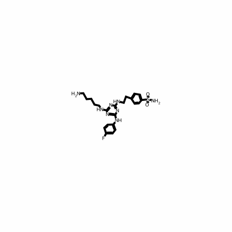 NCCCCCNc1nc(NCCc2ccc(S(N)(=O)=O)cc2)nc(Nc2ccc(F)cc2)n1